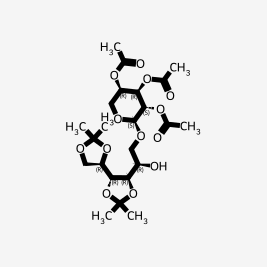 CC(=O)O[C@@H]1[C@@H](OC[C@@H](O)[C@H]2OC(C)(C)O[C@@H]2[C@H]2COC(C)(C)O2)OC[C@@H](OC(C)=O)[C@H]1OC(C)=O